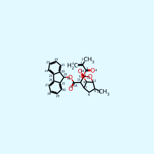 C=C(C)C(=O)OC1C2CC(C)C1OC(=O)C2C(=O)OC1c2ccccc2-c2ccccc21